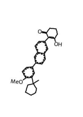 COc1ccc(-c2ccc3cc(C4=C(O)CCCC4=O)ccc3c2)cc1C1(C)CCCCC1